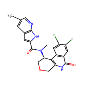 CN(C(=O)c1cc2cc(C(F)(F)F)cnc2[nH]1)[C@@H]1COCc2[nH]c(=O)c3cc(F)c(F)cc3c21